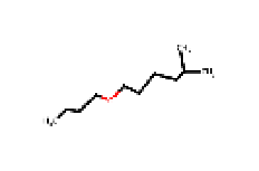 CCCCOCCCCC(C)C